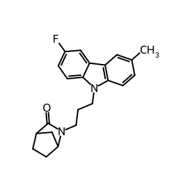 Cc1ccc2c(c1)c1cc(F)ccc1n2CCCN1C(=O)C2CCC1C2